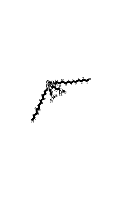 CCCCCCCCCCCCCCOP(=O)(OCCCCCCCCCCCCCC)N(CCCN(C)C)CCCN(C)C